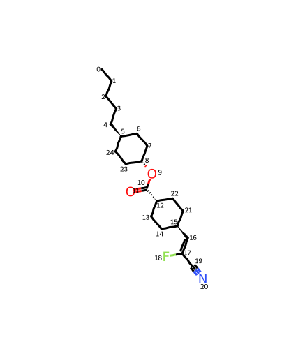 CCCCC[C@H]1CC[C@H](OC(=O)[C@H]2CC[C@H](C=C(F)C#N)CC2)CC1